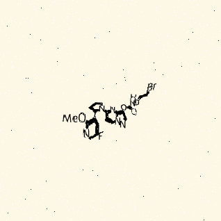 COc1ncc(F)cc1[C@H]1CCCN1c1ccn2ncc(OC(=O)NOCCBr)c2n1